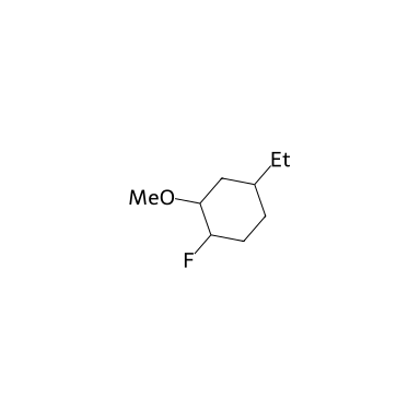 CCC1CCC(F)C(OC)C1